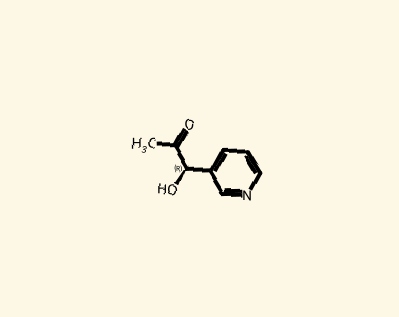 CC(=O)[C@H](O)c1cccnc1